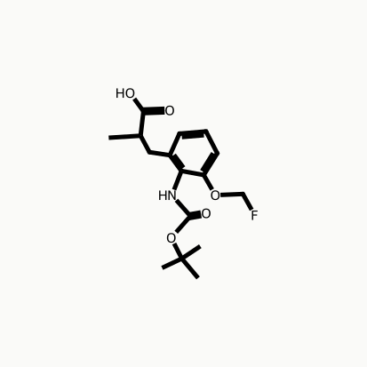 CC(Cc1cccc(OCF)c1NC(=O)OC(C)(C)C)C(=O)O